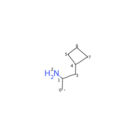 [CH2]C(N)CC1CCC1